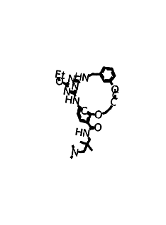 CCOc1nc2nc(n1)Nc1ccc(C(=O)NCC(C)(C)CN(C)C)c(c1)OCCCCOc1cccc(c1)CN2